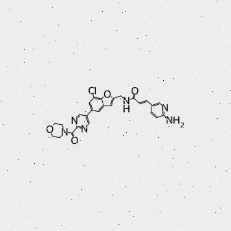 Nc1ccc(C=CC(=O)NCc2cc3cc(-c4cnc(C(=O)N5CCOCC5)nc4)cc(Cl)c3o2)cn1